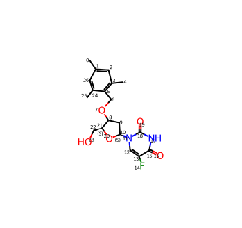 Cc1cc(C)c(COC2C[C@@H](n3cc(F)c(=O)[nH]c3=O)O[C@H]2CO)c(C)c1